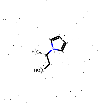 C[C@@H](CC(=O)O)n1cccc1